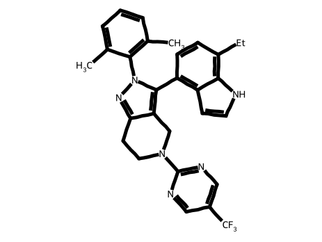 CCc1ccc(-c2c3c(nn2-c2c(C)cccc2C)CCN(c2ncc(C(F)(F)F)cn2)C3)c2cc[nH]c12